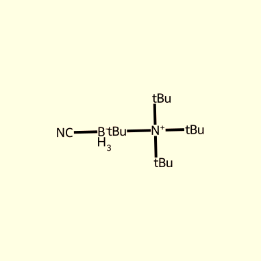 CC(C)(C)[N+](C(C)(C)C)(C(C)(C)C)C(C)(C)C.[BH3-]C#N